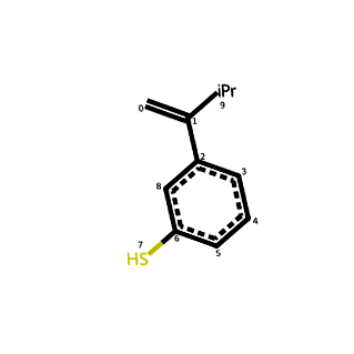 C=C(c1cccc(S)c1)C(C)C